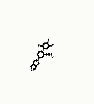 NC1C[C@@H](N2Cc3cocc3C2)CC[C@@H]1c1cc(F)c(F)cc1F